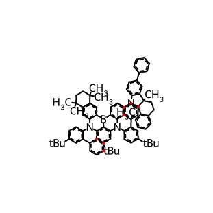 CC(C)(C)c1ccc(N2c3cc(N4c5ccc(-c6ccccc6)cc5C5(C)CCc6ccccc6C45C)ccc3B3c4cc5c(cc4N(c4ccc(C(C)(C)C)cc4-c4ccccc4)c4cc(C(C)(C)C)cc2c43)C(C)(C)CCC5(C)C)c(-c2ccccc2)c1